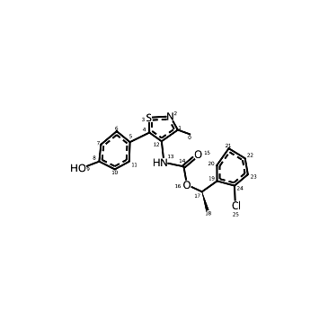 Cc1nsc(-c2ccc(O)cc2)c1NC(=O)O[C@H](C)c1ccccc1Cl